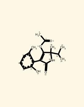 CC(=O)OC1=C(c2c(C)cccc2O)C(=O)NC1(C)C(C)C